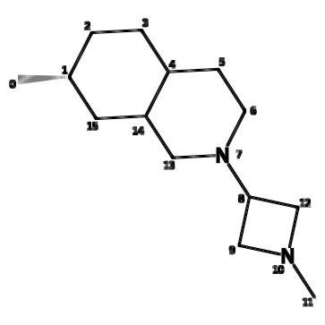 C[C@@H]1CCC2CCN(C3CN(C)C3)CC2C1